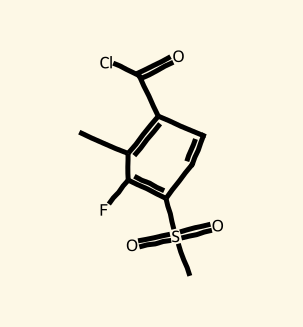 Cc1c(C(=O)Cl)ccc(S(C)(=O)=O)c1F